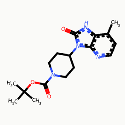 Cc1ccnc2c1[nH]c(=O)n2C1CCN(C(=O)OC(C)(C)C)CC1